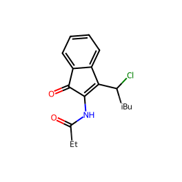 CCC(=O)NC1=C(C(Cl)C(C)CC)c2ccccc2C1=O